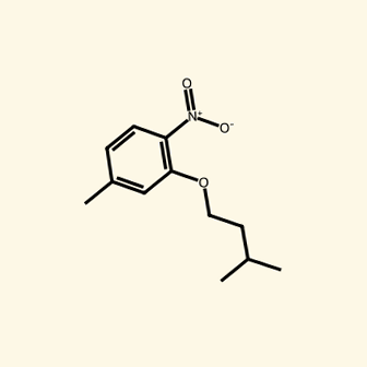 Cc1ccc([N+](=O)[O-])c(OCCC(C)C)c1